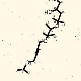 CC(C)OCC#CCOC(C)(C)C(C)OC(C)(C)CC(O)CO